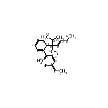 C=C(/C=C\C(F)=C/C)C1=CC=CCC1C(C)(C=CCC)C(C)C